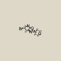 Brc1cnc2oc(N3CCOCC3)nc2c1